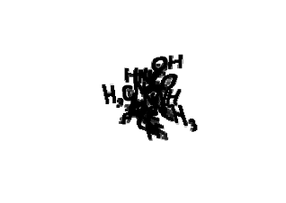 CC(Nc1nc(N(C)C)[nH]c(=O)c1C(=N)CO)c1ccc(OC(F)(F)F)c(F)c1